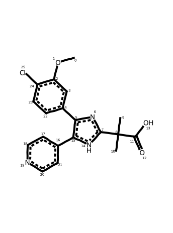 COc1cc(-c2nc(C(C)(C)C(=O)O)[nH]c2-c2ccncc2)ccc1Cl